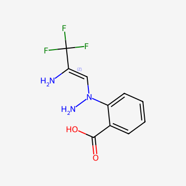 N/C(=C\N(N)c1ccccc1C(=O)O)C(F)(F)F